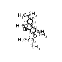 CCCC(CCC)Oc1nc(Br)c(-c2ccc(C(C)C)cc2OC)nc1NC